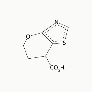 O=C(O)C1CCOc2ncsc21